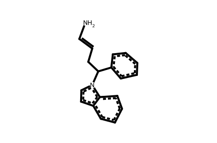 NC=CCC(c1ccccc1)n1ccc2ccccc21